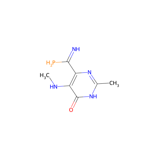 CNc1c(C(=N)P)nc(C)[nH]c1=O